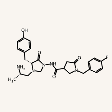 C[C@H](N)CN1CN(NC(=O)C2CC(=O)N(Cc3ccc(F)cc3)C2)C(=O)[C@H]1Cc1ccc(O)cc1